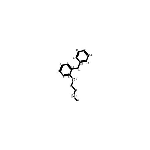 CNCCOc1ccccc1Cc1ccccc1